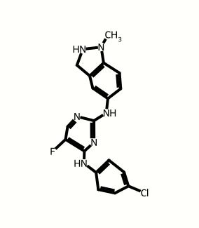 CN1NCc2cc(Nc3ncc(F)c(Nc4ccc(Cl)cc4)n3)ccc21